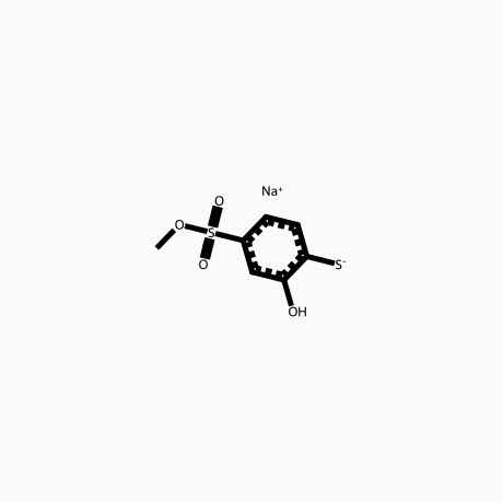 COS(=O)(=O)c1ccc([S-])c(O)c1.[Na+]